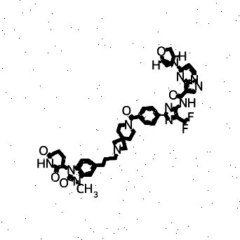 Cn1c(=O)n(C2CCC(=O)NC2=O)c2ccc(CCCN3CC4(CCN(C(=O)c5ccc([C@H]6N=C(NC(=O)c7cnn8ccc(N9C[C@H]%10C[C@@H]9CO%10)nc78)C(C(F)F)=N6)cc5)CC4)C3)cc21